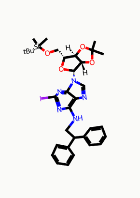 CC1(C)O[C@H]2[C@H](O1)[C@@H](CO[Si](C)(C)C(C)(C)C)O[C@H]2n1cnc2c(NCC(c3ccccc3)c3ccccc3)nc(I)nc21